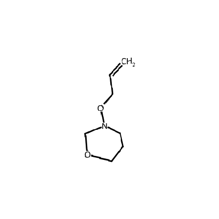 C=CCON1CCCOC1